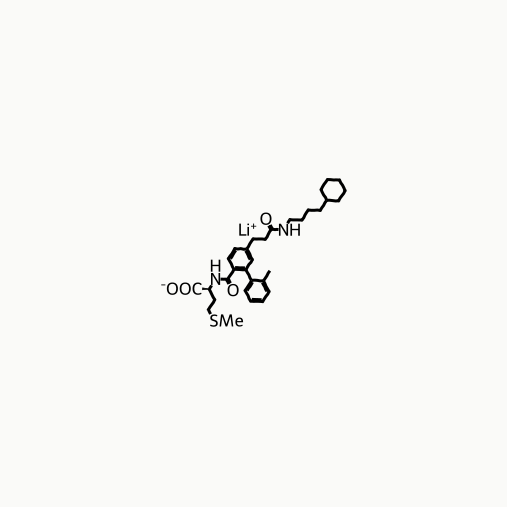 CSCC[C@H](NC(=O)c1ccc(CCC(=O)NCCCCC2CCCCC2)cc1-c1ccccc1C)C(=O)[O-].[Li+]